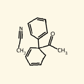 CC#N.CC(=O)C1(c2ccccc2)C=CC=CC1